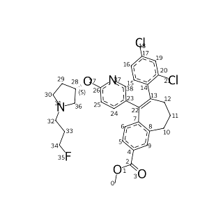 COC(=O)c1ccc2c(c1)CCCC(c1ccc(Cl)cc1Cl)=C2c1ccc(O[C@H]2CCN(CCCF)C2)nc1